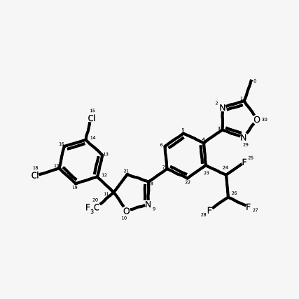 Cc1nc(-c2ccc(C3=NOC(c4cc(Cl)cc(Cl)c4)(C(F)(F)F)C3)cc2C(F)C(F)F)no1